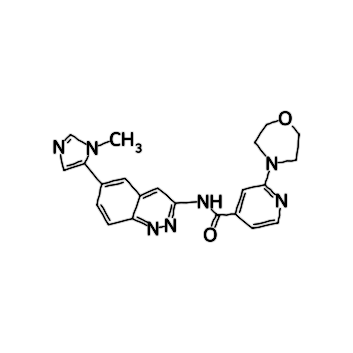 Cn1cncc1-c1ccc2nnc(NC(=O)c3ccnc(N4CCOCC4)c3)cc2c1